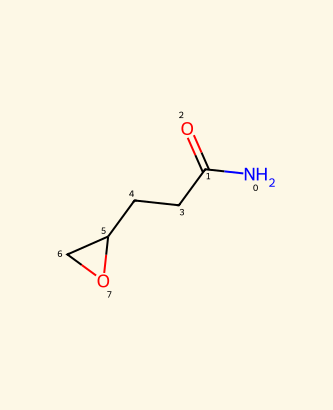 NC(=O)CCC1CO1